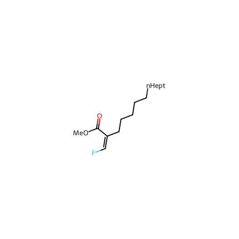 CCCCCCCCCCCCC(=CF)C(=O)OC